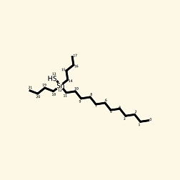 CCCCCCCCCCC[CH2][Sn]([SH])([CH2]CCC)[CH2]CCC